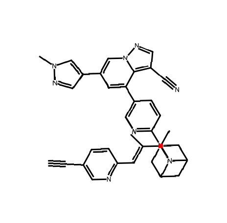 C#Cc1ccc(/C=C(\C)C(C)N2C3CC2CN(c2ccc(-c4cc(-c5cnn(C)c5)cn5ncc(C#N)c45)cn2)C3)nc1